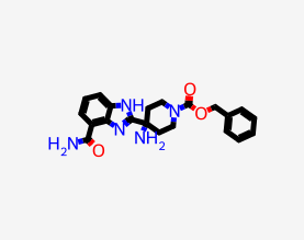 NC(=O)c1cccc2[nH]c(C3(N)CCN(C(=O)OCc4ccccc4)CC3)nc12